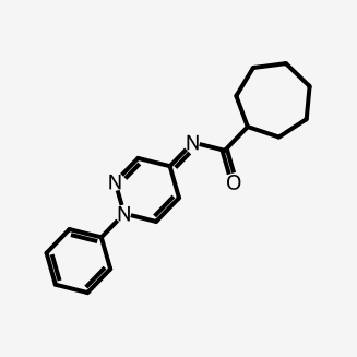 O=C(/N=c1\ccn(-c2ccccc2)nc1)C1CCCCCC1